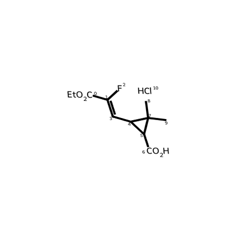 CCOC(=O)C(F)=CC1C(C(=O)O)C1(C)C.Cl